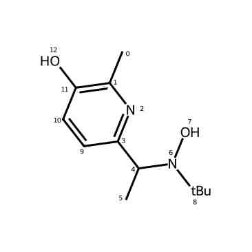 Cc1nc(C(C)N(O)C(C)(C)C)ccc1O